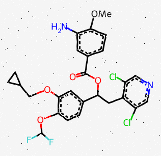 COc1ccc(C(=O)OC(Cc2c(Cl)cncc2Cl)c2ccc(OC(F)F)c(OCC3CC3)c2)cc1N